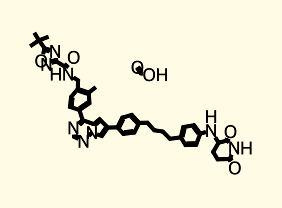 Cc1cc(-c2ncnn3cc(-c4ccc(CCCCc5ccc(NC6CCC(=O)NC6=O)cc5)cc4)cc23)ccc1CNC(=O)c1noc(C(C)(C)C)n1.O=CO